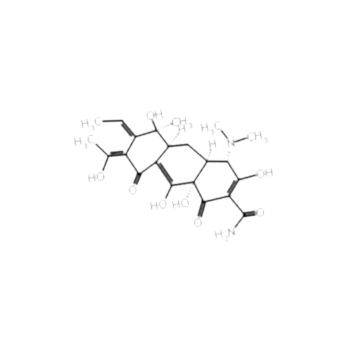 C/C=C1\C(=C(/C)O)C(=O)C2=C(O)[C@]3(O)C(=O)C(C(N)=O)=C(O)[C@@H](N(C)C)[C@@H]3C[C@@H]2[C@]1(C)O